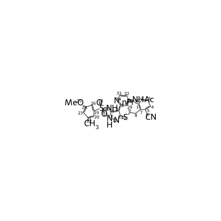 CCCc1cccc(C#N)c1CCSc1n[nH]c(NS(=O)(=O)c2cc(C)cc(OC)c2)c1-c1cc(NC(C)=O)ccn1